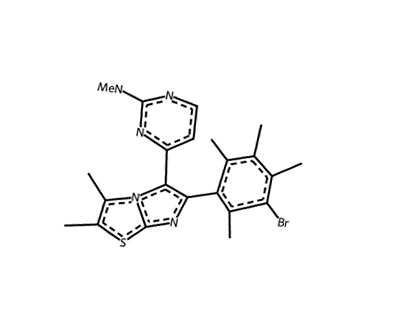 CNc1nccc(-c2c(-c3c(C)c(C)c(C)c(Br)c3C)nc3sc(C)c(C)n23)n1